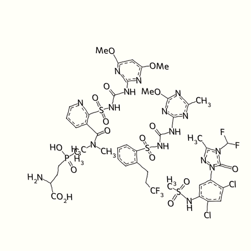 COc1cc(OC)nc(NC(=O)NS(=O)(=O)c2ncccc2C(=O)N(C)C)n1.COc1nc(C)nc(NC(=O)NS(=O)(=O)c2ccccc2CCC(F)(F)F)n1.CP(=O)(O)CCC(N)C(=O)O.Cc1nn(-c2cc(NS(C)(=O)=O)c(Cl)cc2Cl)c(=O)n1C(F)F